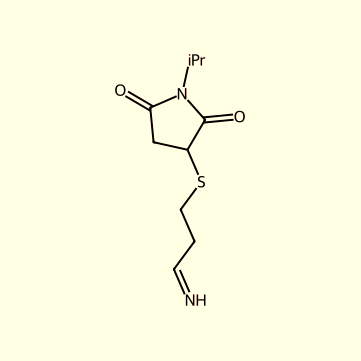 CC(C)N1C(=O)CC(SCCC=N)C1=O